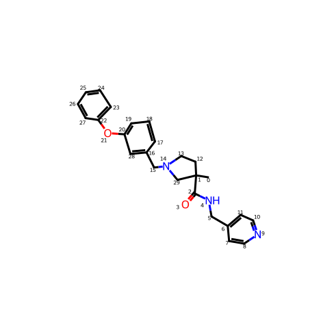 CC1(C(=O)NCc2ccncc2)CCN(Cc2cccc(Oc3ccccc3)c2)C1